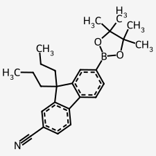 CCCC1(CCC)c2cc(C#N)ccc2-c2ccc(B3OC(C)(C)C(C)(C)O3)cc21